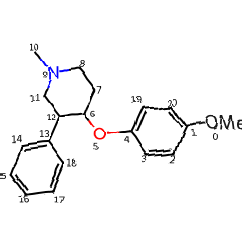 COc1ccc(OC2CCN(C)CC2c2ccccc2)cc1